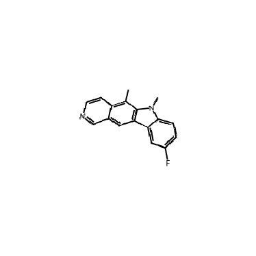 Cc1c2ccncc2cc2c3cc(F)ccc3n(C)c12